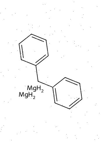 [MgH2].[MgH2].c1ccc(Cc2ccccc2)cc1